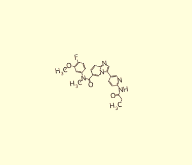 CCC(=O)Nc1ccc(-c2cnc3ccc(C(=O)N(C)c4ccc(F)c(OC)c4)cn23)cn1